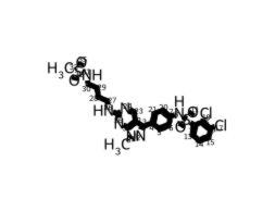 Cn1nc(-c2ccc(NS(=O)(=O)c3cccc(Cl)c3Cl)cc2)c2cnc(NCCCCNS(C)(=O)=O)nc21